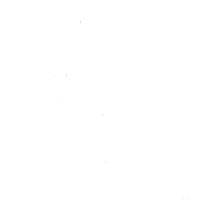 CCCCCCCCCCCCOc1ccccc1C(=O)Oc1cccc(C)c1CCCC